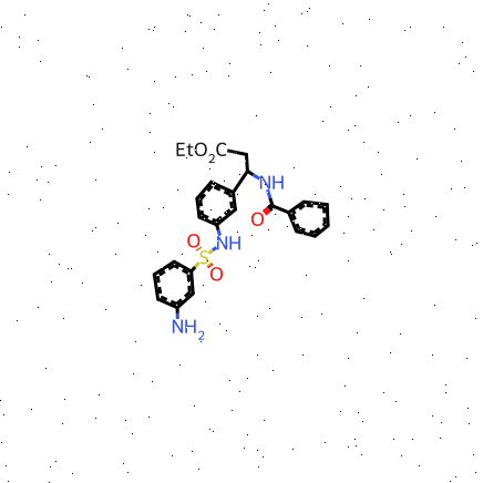 CCOC(=O)CC(NC(=O)c1ccccc1)c1cccc(NS(=O)(=O)c2cccc(N)c2)c1